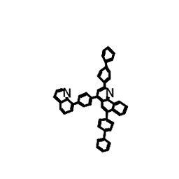 c1ccc(-c2ccc(-c3cc(-c4ccc(-c5cccc6cccnc56)cc4)c4cc(-c5ccc(-c6ccccc6)cc5)c5ccccc5c4n3)cc2)cc1